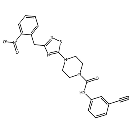 N#Cc1cccc(NC(=O)N2CCN(c3nc(Cc4ccccc4[N+](=O)[O-])ns3)CC2)c1